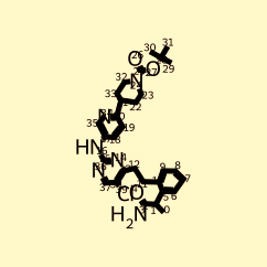 CC(C(N)=O)c1ccccc1CCc1nc(Nc2ccc(C3CCN(C(=O)OC(C)(C)C)CC3)nc2)ncc1Cl